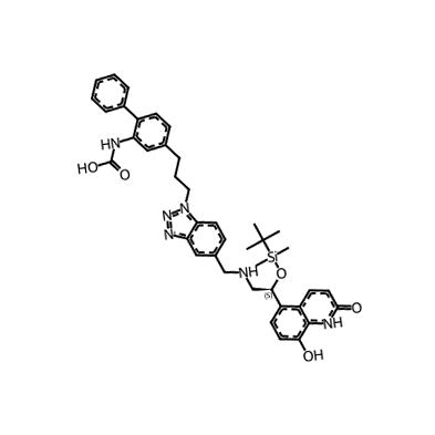 CC(C)(C)[Si](C)(C)O[C@H](CNCc1ccc2c(c1)nnn2CCCc1ccc(-c2ccccc2)c(NC(=O)O)c1)c1ccc(O)c2[nH]c(=O)ccc12